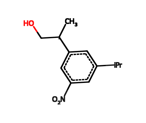 C[C](CO)c1cc(C(C)C)cc([N+](=O)[O-])c1